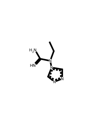 CCN(C(=N)N)n1cnnc1